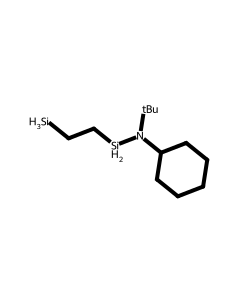 CC(C)(C)N([SiH2]CC[SiH3])C1CCCCC1